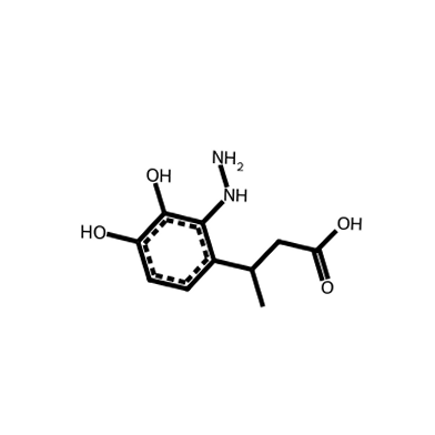 CC(CC(=O)O)c1ccc(O)c(O)c1NN